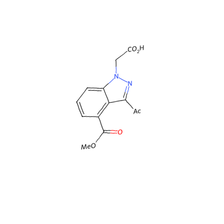 COC(=O)c1cccc2c1c(C(C)=O)nn2CC(=O)O